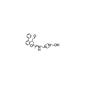 C/C(=C\NCCN1CCN(CCO)CC1)C(=O)CC(CC=O)c1ccccc1-c1ccccc1